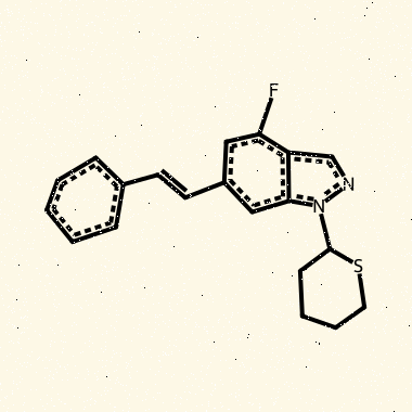 Fc1cc(/C=C/c2ccccc2)cc2c1cnn2C1CCCCS1